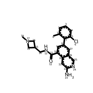 Cc1cccc(Cl)c1-c1cc(C(=O)NCC2CN(C)C2)c2cc(N)ncc2c1